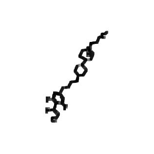 CCCCC[Si@H]1CC[C@H]([C@H]2CC[C@H](CCCCc3cc(F)c(C(F)=CCl)c(F)c3)CC2)CC1